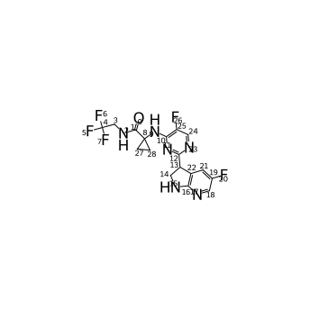 O=C(NCC(F)(F)F)C1(Nc2nc(C3CNc4ncc(F)cc43)ncc2F)CC1